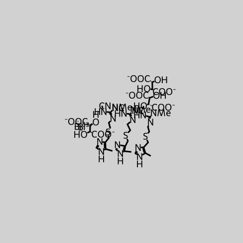 CNC(=NCCSCc1nc[nH]c1C)NC#N.CNC(=NCCSCc1nc[nH]c1C)NC#N.CNC(=NCCSCc1nc[nH]c1C)NC#N.O=C([O-])[C@H](O)[C@@H](O)C(=O)[O-].O=C([O-])[C@H](O)[C@@H](O)C(=O)[O-].O=C([O-])[C@H](O)[C@@H](O)C(=O)[O-].[Bi+3].[Bi+3]